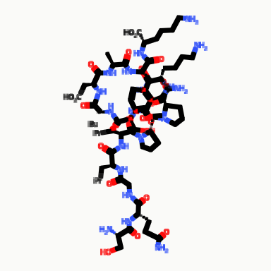 CC[C@H](C)[C@H](NC(=O)[C@H](CO)NC(=O)[C@H](CC(N)=O)NC(=O)[C@H](CCCCN)NC(=O)[C@@H]1CCCN1C(=O)[C@@H]1CCCN1C(=O)[C@H](CC(C)C)NC(=O)[C@H](CC(C)C)NC(=O)CNC(=O)[C@H](CCC(N)=O)NC(=O)[C@@H](N)CO)C(=O)N[C@@H](CC(=O)O)C(=O)N[C@@H](C)C(=O)N[C@@H](Cc1ccccc1)C(=O)N[C@@H](CCCCN)C(=O)O